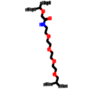 CCCCCCCC(CCCCCCC)OCC(=O)NCCOCCOCCOCCOCC(CCCCCC)CCCCCC